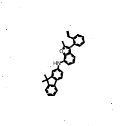 C=Cc1ccccc1-c1c(C)oc2c(Nc3ccc4c(c3)C(C)(C)c3ccccc3-4)cccc12